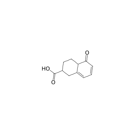 O=C(O)C1CCC2C(=O)C=CC=C2C1